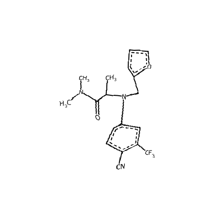 CC(C(=O)N(C)C)N(Cc1ccco1)c1ccc(C#N)c(C(F)(F)F)c1